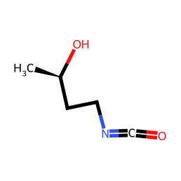 C[C@@H](O)CCN=C=O